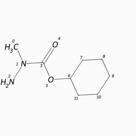 CN(N)C(=O)OC1CCCCC1